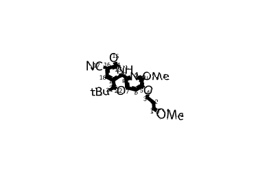 COCCCOc1cc2c(nc1OC)-c1[nH]c(=O)c(C#N)cc1C(C(C)(C)C)O2